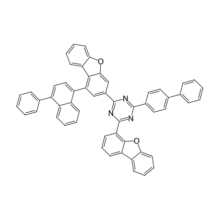 c1ccc(-c2ccc(-c3nc(-c4cc(-c5ccc(-c6ccccc6)c6ccccc56)c5c(c4)oc4ccccc45)nc(-c4cccc5c4oc4ccccc45)n3)cc2)cc1